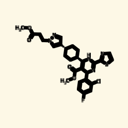 COC(=O)CCn1cc([C@H]2CC[C@H](C3=C(C(=O)OC)C(c4ccc(F)cc4Cl)N=C(c4nccs4)N3)CC2)cn1